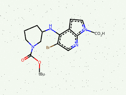 CC(C)(C)OC(=O)N1CCCC(Nc2c(Br)cnc3c2ccn3C(=O)O)C1